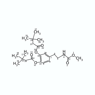 COC(=O)NCCc1ccc(OC(=O)CC(C)(C)C)c(OC(=O)CC(C)(C)C)c1